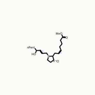 CCCCCC(O)/C=C/CN1CC[C@@H](Cl)C1C/C=C\CCCC(=O)OC